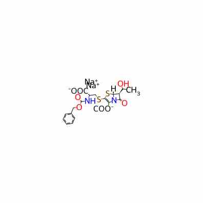 CC(O)[C@H]1C(=O)N2C(C(=O)[O-])=C(SC[C@@H](NC(=O)OCc3ccccc3)C(=O)[O-])S[C@H]12.[Na+].[Na+]